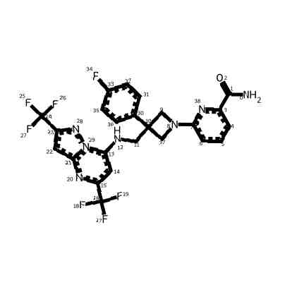 NC(=O)c1cccc(N2CC(CNc3cc(C(F)(F)F)nc4cc(C(F)(F)F)nn34)(c3ccc(F)cc3)C2)n1